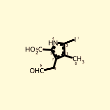 Cc1c(I)[nH]c(C(=O)O)c1CC=O